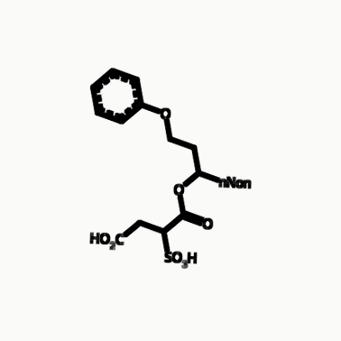 CCCCCCCCCC(CCOc1ccccc1)OC(=O)C(CC(=O)O)S(=O)(=O)O